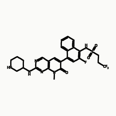 Cn1c(=O)c(-c2cc(F)c(NS(=O)(=O)CCC(F)(F)F)c3ccccc23)cc2cnc(NC3CCCNC3)nc21